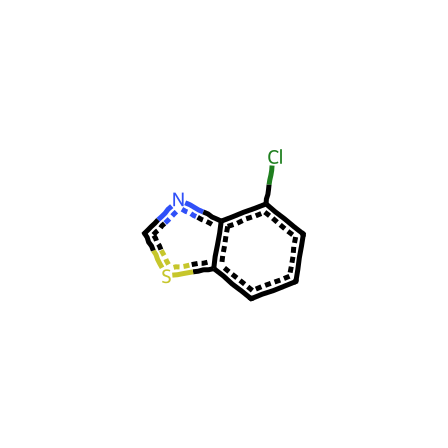 Clc1cccc2scnc12